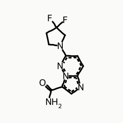 NC(=O)c1cnc2ccc(N3CCC(F)(F)C3)nn12